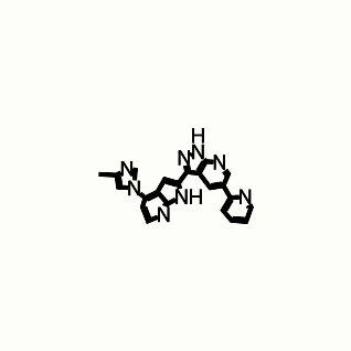 Cc1cn(-c2ccnc3[nH]c(-c4n[nH]c5ncc(-c6ccccn6)cc45)cc23)cn1